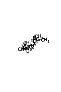 CCCOc1cc(CN2CCC(Nc3cc(C)nc(Cl)n3)CC2)ccc1OC